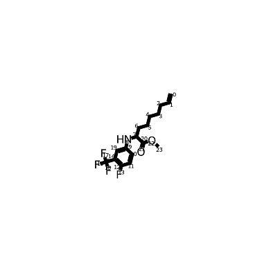 C=CCCCCCC(Nc1ccc(F)c(C(F)(F)F)c1)C(=O)OC